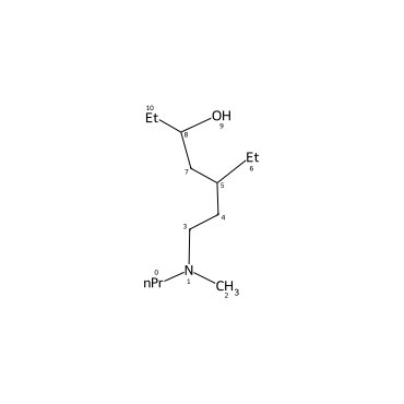 CCCN(C)CCC(CC)CC(O)CC